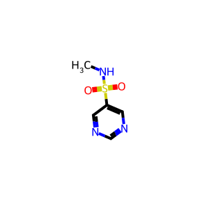 CNS(=O)(=O)c1cncnc1